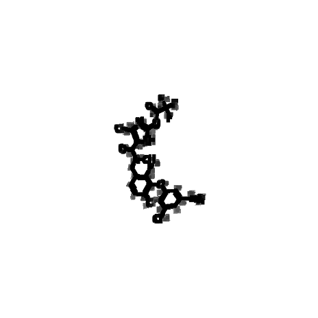 CN(Cc1ccc(Cl)c(Oc2cc(Cl)cc(C#N)c2)c1F)C(=O)c1[nH]c(OC(=O)C(F)(F)F)nc1Cl